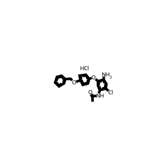 CC(=O)Nc1cc(Oc2ccc(OCc3ccccc3)cc2)c(N)cc1Cl.Cl